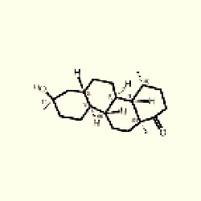 C[C@@H]1CCC(=O)[C@@]2(C)CC[C@H]3[C@@H](CC[C@H]4C[C@](C)(O)CC[C@@H]43)[C@H]12